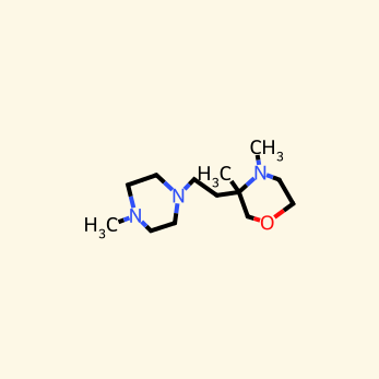 CN1CCN(CCC2(C)COCCN2C)CC1